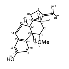 CO[C@H]1C[C@]2(C)C(=C(F)F)CC[C@H]2[C@@H]2C=Cc3cc(O)ccc3[C@H]21